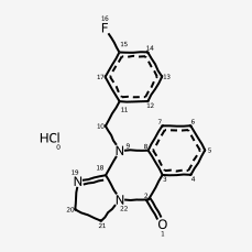 Cl.O=C1c2ccccc2N(Cc2cccc(F)c2)C2=NCCN12